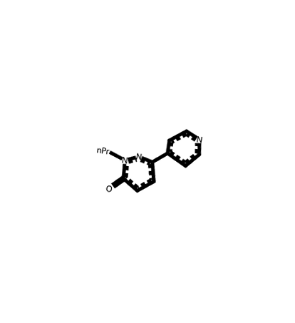 CCCn1nc(-c2ccncc2)ccc1=O